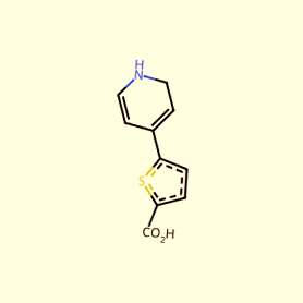 O=C(O)c1ccc(C2=CCNC=C2)s1